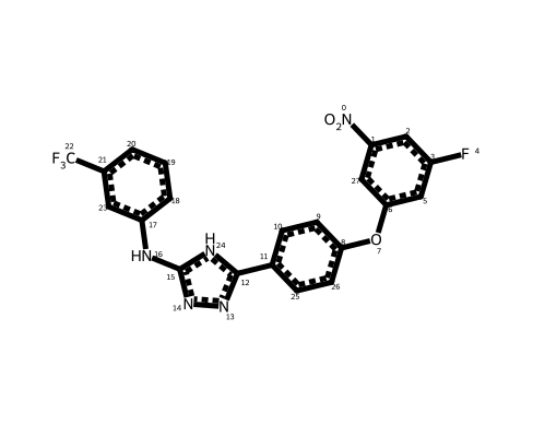 O=[N+]([O-])c1cc(F)cc(Oc2ccc(-c3nnc(Nc4cccc(C(F)(F)F)c4)[nH]3)cc2)c1